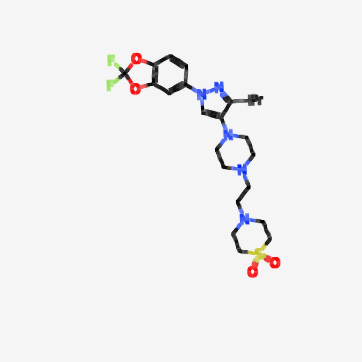 CC(C)c1nn(-c2ccc3c(c2)OC(F)(F)O3)cc1N1CCN(CCN2CCS(=O)(=O)CC2)CC1